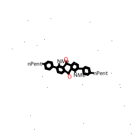 CCCCCc1ccc(-c2ccc3c(c2NC)C(=O)c2ccc(-c4ccc(CCCCC)cc4)c(NC)c2C3=O)cc1